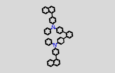 C1=CC(c2ccccc2-c2ccc(N(c3ccccc3)c3ccc(-c4cccc5ccccc45)cc3)cc2)CC=C1N(c1ccccc1)c1ccc(-c2cccc3ccccc23)cc1